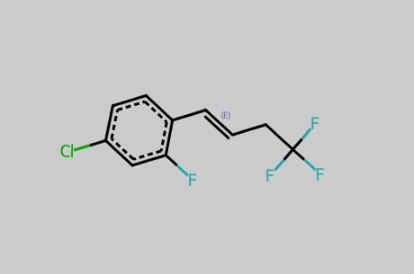 Fc1cc(Cl)ccc1/C=C/CC(F)(F)F